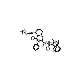 Cc1nn2cccnc2c1C(=O)N[C@@H](C)c1cc2cccc(C#CCN(C)C)c2c(=O)n1-c1ccccc1